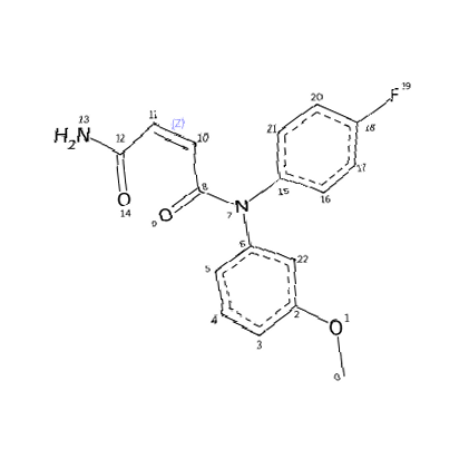 COc1cccc(N(C(=O)/C=C\C(N)=O)c2ccc(F)cc2)c1